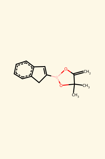 C=C1OB(C2=Cc3ccccc3C2)OC1(C)C